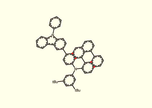 CC(C)(C)c1cc(N(c2ccc(-c3ccc4c(c3)c3ccccc3n4-c3ccccc3)cc2)c2ccccc2-c2cccc3cccc(-c4ccccc4)c23)cc(C(C)(C)C)c1